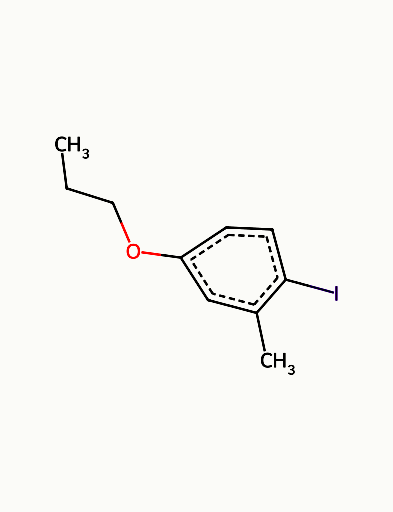 CCCOc1ccc(I)c(C)c1